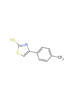 FC(F)(F)c1ccc(-c2csc(S)n2)cc1